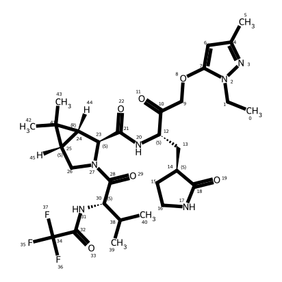 CCn1nc(C)cc1OCC(=O)[C@H](C[C@@H]1CCNC1=O)NC(=O)[C@@H]1[C@@H]2[C@H](CN1C(=O)[C@@H](NC(=O)C(F)(F)F)C(C)C)C2(C)C